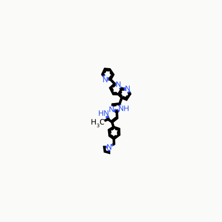 CC(=N)/C(=C\c1ncc(-c2ccnc3nc(-c4ccccn4)ccc23)[nH]1)c1ccc(CN2CCC2)cc1